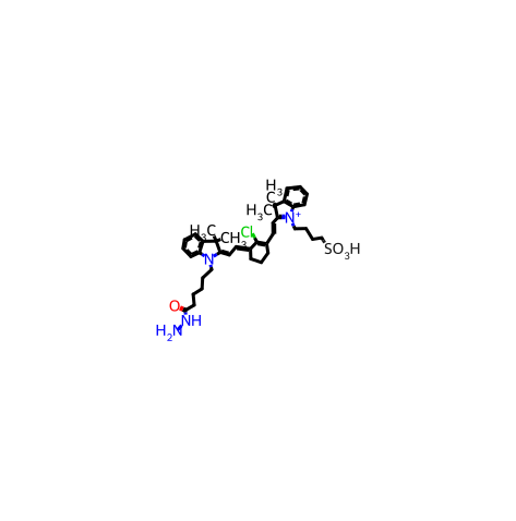 CC1(C)C(/C=C/C2=C(Cl)C(=C/C=C3/N(CCCCCC(=O)NN)c4ccccc4C3(C)C)/CCC2)=[N+](CCCCS(=O)(=O)O)c2ccccc21